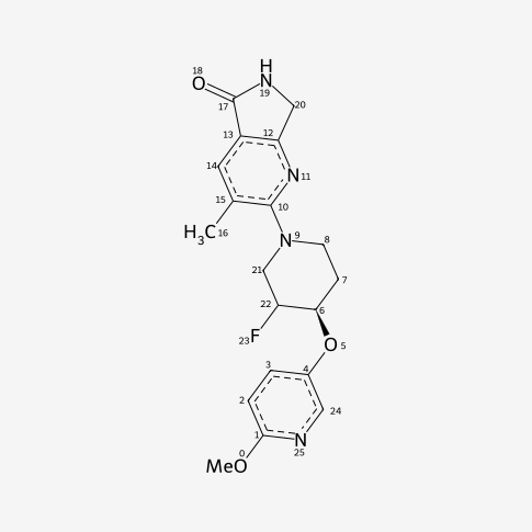 COc1ccc(O[C@@H]2CCN(c3nc4c(cc3C)C(=O)NC4)CC2F)cn1